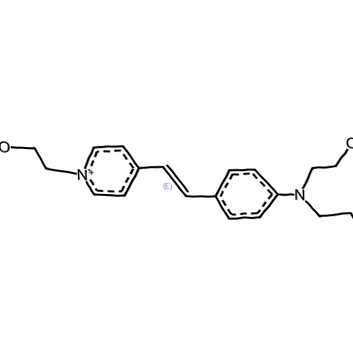 CCCN(CCO)c1ccc(/C=C/c2cc[n+](CCO)cc2)cc1